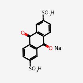 O=C1c2ccc(S(=O)(=O)O)cc2C(=O)c2ccc(S(=O)(=O)O)cc21.[Na]